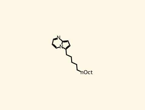 CCCCCCCCCCCCCc1ccc2ncccn12